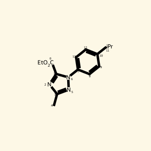 CCOC(=O)c1nc(C)nn1-c1ccc(C(C)C)cc1